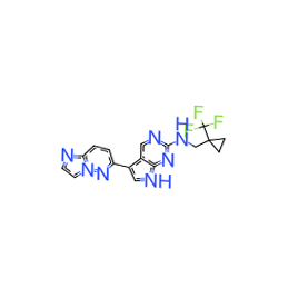 FC(F)(F)C1(CNc2ncc3c(-c4ccc5nccn5n4)c[nH]c3n2)CC1